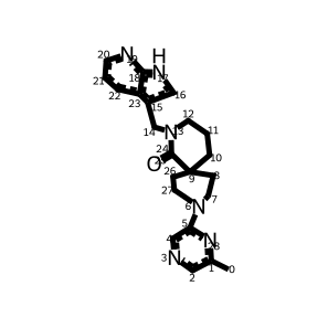 Cc1cncc(N2CCC3(CCCN(Cc4c[nH]c5ncccc45)C3=O)CC2)n1